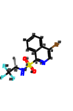 C[C@H](NS(=O)(=O)c1ncc(Br)c2ccccc12)C(F)(F)F